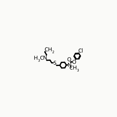 C=CCN(C)CCCSCC1CCC(N(C)C(=O)Oc2ccc(Cl)cc2)CC1